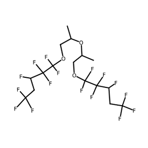 CC(COC(F)(F)C(F)(F)C(F)CC(F)(F)F)OC(C)COC(F)(F)C(F)(F)C(F)CC(F)(F)F